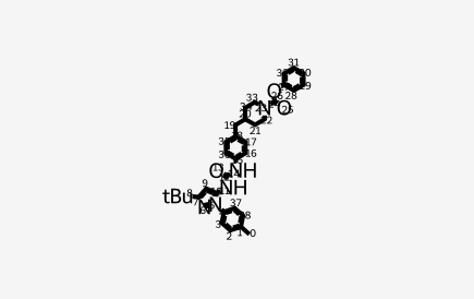 Cc1ccc(-n2nc(C(C)(C)C)cc2NC(=O)Nc2ccc(CC3CCN(C(=O)Oc4ccccc4)CC3)cc2)cc1